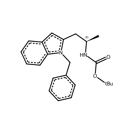 C[C@H](Cc1cc2ccccc2n1Cc1ccccc1)NC(=O)OC(C)(C)C